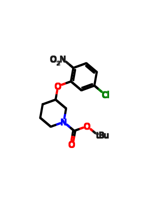 CC(C)(C)OC(=O)N1CCCC(Oc2cc(Cl)ccc2[N+](=O)[O-])C1